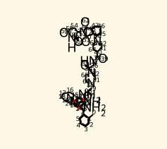 Cc1ccccc1/C(N)=C/C(=C(N)N)N1CC2CCC(C1)N2c1cccc(OCCN2CCN(C(=O)CNC(=O)C3CCN(c4cccc5c4C(=O)N(C4CCC(=O)NC4=O)C5=O)CC3)CC2)c1